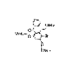 COCCc1c(Br)c(OCOC)cc(OCOC)c1C(=O)c1ccccc1